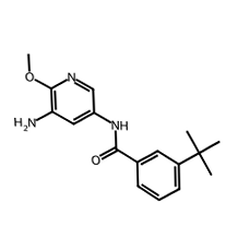 COc1ncc(NC(=O)c2cccc(C(C)(C)C)c2)cc1N